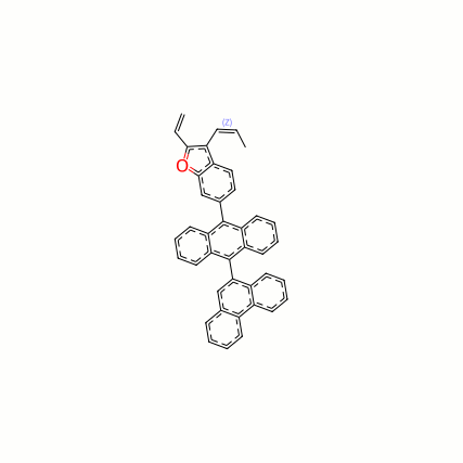 C=Cc1oc2cc(-c3c4ccccc4c(-c4cc5ccccc5c5ccccc45)c4ccccc34)ccc2c1/C=C\C